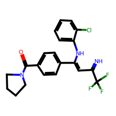 N=C(/C=C(\Nc1ccccc1Cl)c1ccc(C(=O)N2CCCC2)cc1)C(F)(F)F